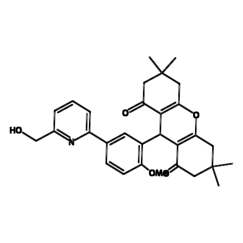 COc1ccc(-c2cccc(CO)n2)cc1C1C2=C(CC(C)(C)CC2=O)OC2=C1C(=O)CC(C)(C)C2